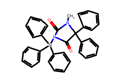 CN1C(=O)N([Si](c2ccccc2)(c2ccccc2)c2ccccc2)C(=O)C1(c1ccccc1)c1ccccc1